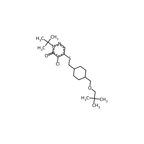 CC(C)(C)COCC1CCC(CSc2cnn(C(C)(C)C)c(=O)c2Cl)CC1